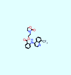 O=C(OCCN1CCOC1=O)c1ccccc1Nc1ccnc2c(C(F)(F)F)cccc12